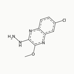 COc1nc2cc(Cl)ccc2nc1NN